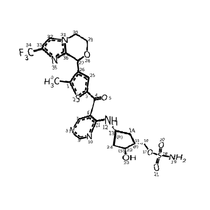 Cc1sc(C(=O)c2cncnc2N[C@@H]2C[C@H](COS(N)(=O)=O)[C@@H](O)C2)cc1C1OCCn2cc(C(F)(F)F)nc21